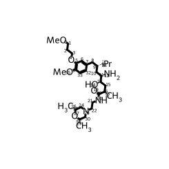 COCCCOc1cc(C[C@@H](C[C@H](N)[C@@H](O)C[C@@H](C)C(=O)NCCN2C[C@@H](C)O[C@@H](C)C2)C(C)C)ccc1OC